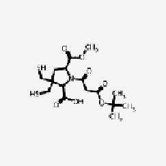 COC(=O)C1CC(CS)(CS)C(C(=O)O)N1C(=O)CC(=O)OC(C)(C)C